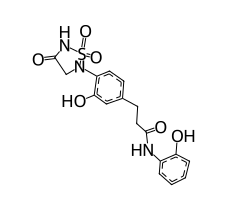 O=C(CCc1ccc(N2CC(=O)NS2(=O)=O)c(O)c1)Nc1ccccc1O